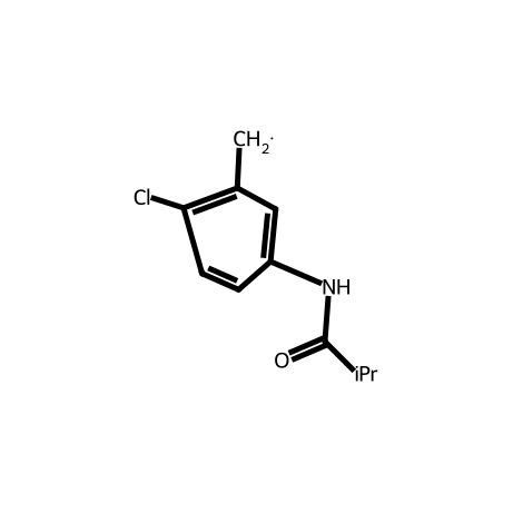 [CH2]c1cc(NC(=O)C(C)C)ccc1Cl